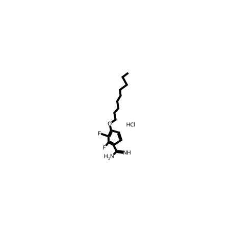 CCCCCCCCCOc1ccc(C(=N)N)c(F)c1F.Cl